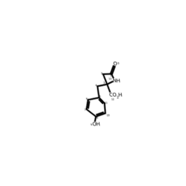 O=C1CC(Cc2ccc(O)cc2)(C(=O)O)N1